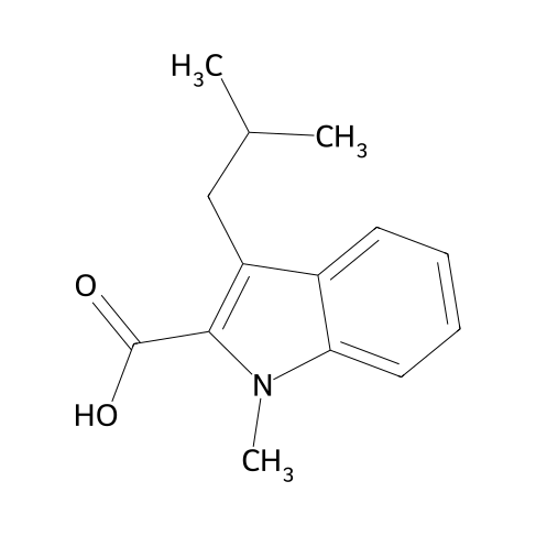 CC(C)Cc1c(C(=O)O)n(C)c2ccccc12